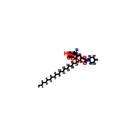 CCCCCCCCCCCCCCCCCCOCC(CC(COP(=O)(O)O)N(C)C)OC(=O)N1CCCCC1